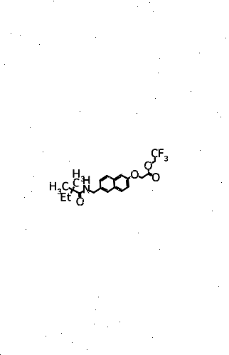 CCC(C)(C)C(=O)NCc1ccc2cc(OCC(=O)OCC(F)(F)F)ccc2c1